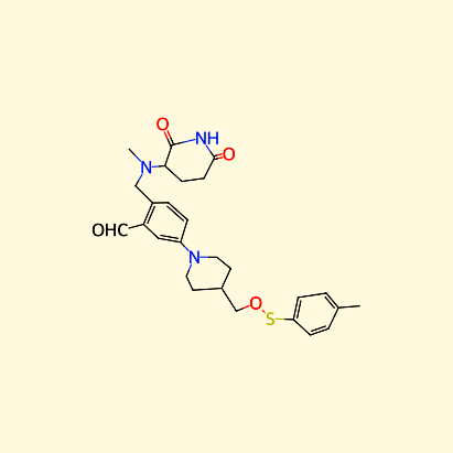 Cc1ccc(SOCC2CCN(c3ccc(CN(C)C4CCC(=O)NC4=O)c(C=O)c3)CC2)cc1